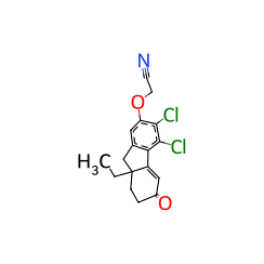 CCC12CCC(=O)C=C1c1c(cc(OCC#N)c(Cl)c1Cl)C2